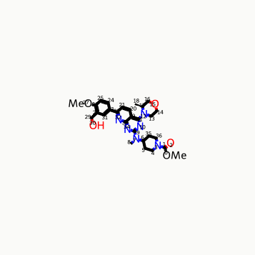 COC(=O)N1CCC(N(C)c2nc(N3CCOC[C@@H]3C)c3ccc(-c4ccc(OC)c(CO)c4)nc3n2)CC1